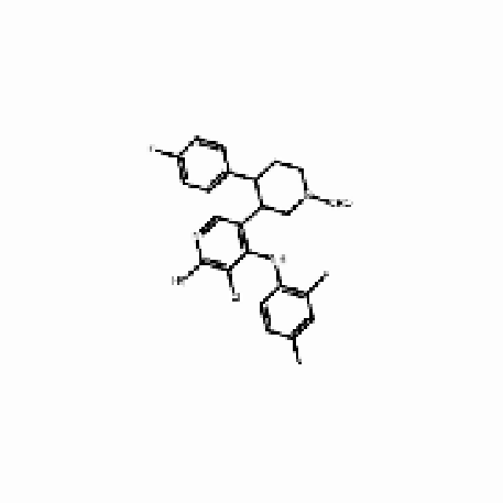 Cc1ccc(Nc2c(C3CN(C=O)CCC3c3ccc(F)cc3)cnc(S)c2Cl)c(F)c1